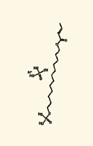 CC=CC(=O)OCCCCCCCCCCCCOP(=O)(O)O.O=P(O)(O)O.[H+]